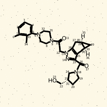 Cc1cccc(N2CCN(C(=O)Cn3nc(C(=O)N4CC[C@H](CO)C4)c4c3C[C@H]3C[C@@H]43)CC2)c1C